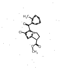 COC(=O)C1CCn2c1cc(Cl)c2C(=O)c1ccccc1C